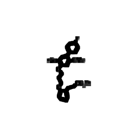 CCCCc1cc(-c2ccc(F)cc2)c(OC)cc1OCCCOc1ccccc1CCC(=O)OCC